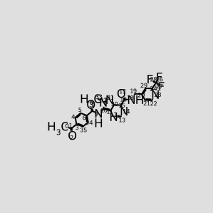 CC(=O)c1ccc(C(=O)Nc2c3ncnc(C(=O)NCc4ccnc(C(F)(F)F)c4)c3nn2C)cc1